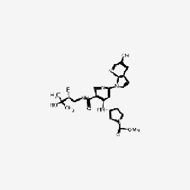 COC(=O)N1CC[C@@H](Nc2cc(-n3ccc4cc(C#N)cnc43)ncc2C(=O)NC[C@@H](F)C(C)(C)O)C1